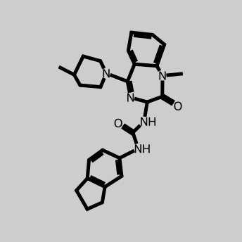 CC1CCN(C2=NC(NC(=O)Nc3ccc4c(c3)CCC4)C(=O)N(C)c3ccccc32)CC1